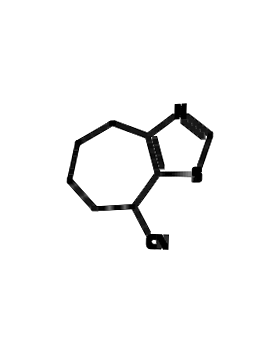 N#CC1CCCCc2ncsc21